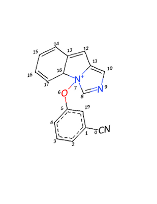 N#Cc1cccc(O[N+]23C=NC=C2C=C2C=CC=CC23)c1